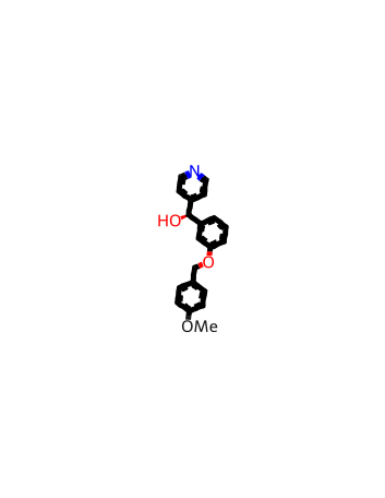 COc1ccc(COc2cccc([C@@H](O)c3ccncc3)c2)cc1